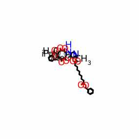 COc1c(N[C@H]2CC(=O)C(=O)[C@H](Cc3ccccc3)[C@H](OC(=O)C(C)C)[C@H](C)C(=O)C2=O)cnc(C)c1OC(=O)CCCCCCCCC(=O)OCc1ccccc1